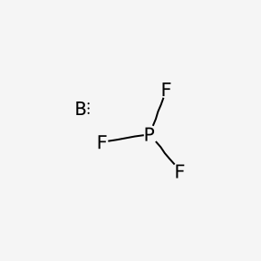 FP(F)F.[B]